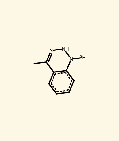 [2H]N1NN=C(C)c2ccccc21